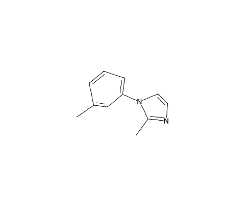 Cc1cccc(-n2ccnc2C)c1